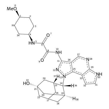 CO[C@H]1CC[C@@H](NC(=O)C(=O)Nc2nn([C@H]3[C@@H]4CC5C[C@H]3C[C@@](O)(C5)C4)c3c2cnc2[nH]ccc23)CC1